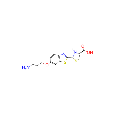 CN1C(c2nc3ccc(OCCCN)cc3s2)SC[C@@H]1C(=O)O